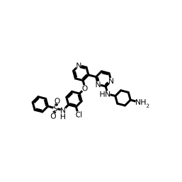 NC1CCC(Nc2nccc(-c3cnccc3Oc3ccc(NS(=O)(=O)c4ccccc4)c(Cl)c3)n2)CC1